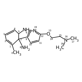 CC1=CC=CC(N)C1(N)c1ccc(OCCN(C)C)nc1